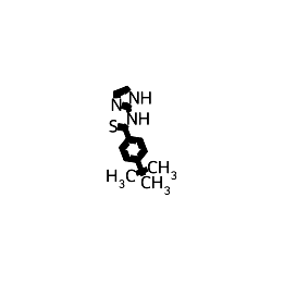 CC(C)(C)c1ccc(C(=S)Nc2ncc[nH]2)cc1